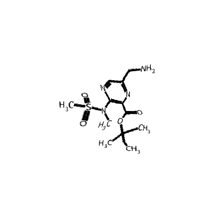 CN(c1ncc(CN)nc1C(=O)OC(C)(C)C)S(C)(=O)=O